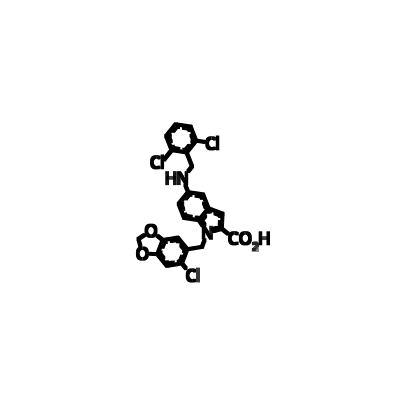 O=C(O)c1cc2cc(NCc3c(Cl)cccc3Cl)ccc2n1Cc1cc2c(cc1Cl)OCO2